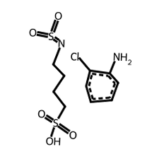 Nc1ccccc1Cl.O=S(=O)=NCCCCS(=O)(=O)O